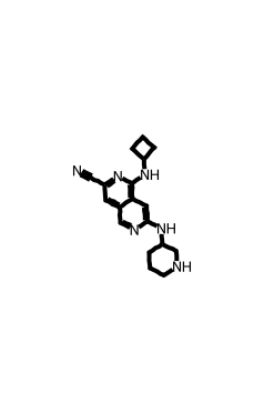 N#Cc1cc2cnc(NC3CCCNC3)cc2c(NC2CCC2)n1